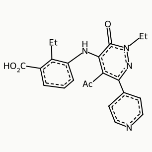 CCc1c(Nc2c(C(C)=O)c(-c3ccncc3)nn(CC)c2=O)cccc1C(=O)O